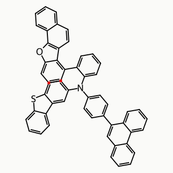 c1ccc(N(c2ccc(-c3cc4ccccc4c4ccccc34)cc2)c2ccc3sc4ccccc4c3c2)c(-c2cccc3oc4c5ccccc5ccc4c23)c1